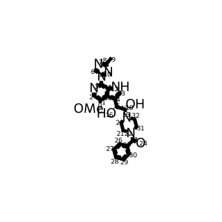 COc1cnc(-n2cnc(C)n2)c2[nH]cc(C(O)C(O)N3CCN(C(=O)c4ccccc4)CC3)c12